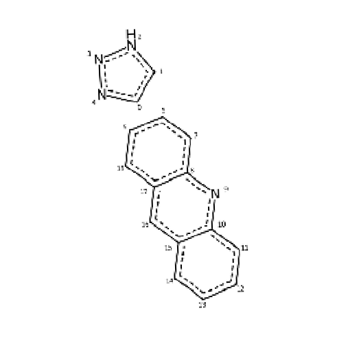 c1c[nH]nn1.c1ccc2nc3ccccc3cc2c1